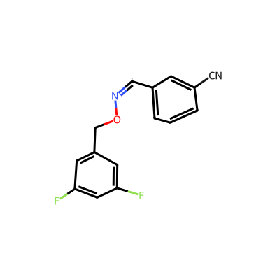 N#Cc1cccc(/[C]=N\OCc2cc(F)cc(F)c2)c1